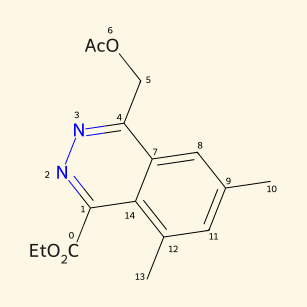 CCOC(=O)c1nnc(COC(C)=O)c2cc(C)cc(C)c12